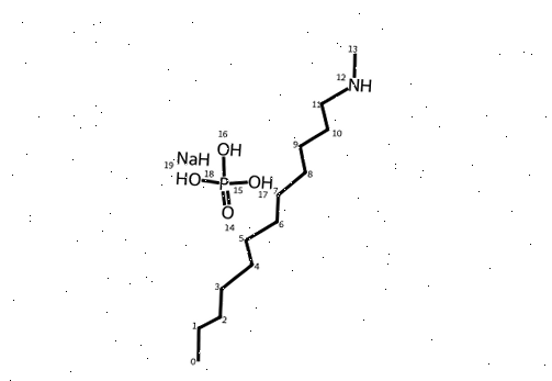 CCCCCCCCCCCCNC.O=P(O)(O)O.[NaH]